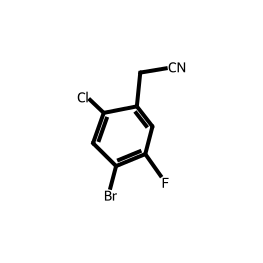 N#CCc1cc(F)c(Br)cc1Cl